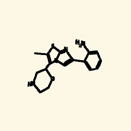 Cc1sc2nc(-c3ccccc3N)cn2c1C1CNCCO1